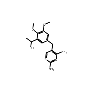 COc1cc(Cc2cnc(N)nc2N)cc(C(C)O)c1OC